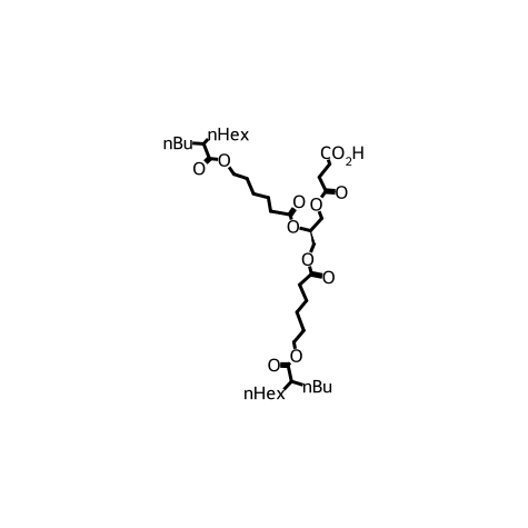 CCCCCCC(CCCC)C(=O)OCCCCCC(=O)OC[C@H](COC(=O)CCC(=O)O)OC(=O)CCCCCOC(=O)C(CCCC)CCCCCC